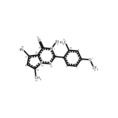 CCn1c(-c2ccc(OC(F)(F)F)cc2C)nn2c(C)cc(C(C)C)c2c1=O